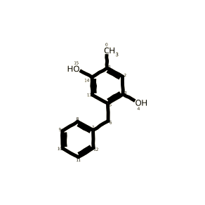 Cc1cc(O)c(Cc2ccccc2)cc1O